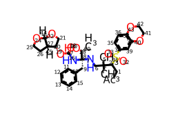 CC(=O)CC(C(C)(C)CN[C@@](Cc1ccccc1)(NC(=O)O[C@H]1CO[C@H]2OCC[C@H]21)[C@@H](C)O)S(=O)(=O)c1ccc2c(c1)OCCO2